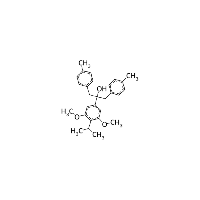 COc1cc(C(O)(Cc2ccc(C)cc2)Cc2ccc(C)cc2)cc(OC)c1C(C)C